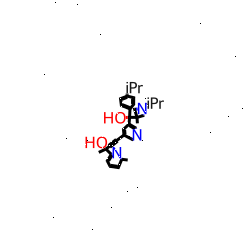 Cc1cccc(C(C)(O)C#Cc2cncc(C(O)(c3ccc(C(C)C)cc3)C3(C)CN(C(C)C)C3)c2)n1